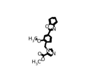 COC(=O)c1cncn1Cc1ccc(-c2nc3ccccc3o2)cc1OC